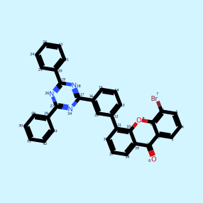 O=c1c2cccc(Br)c2oc2c(-c3cccc(-c4nc(-c5ccccc5)nc(-c5ccccc5)n4)c3)cccc12